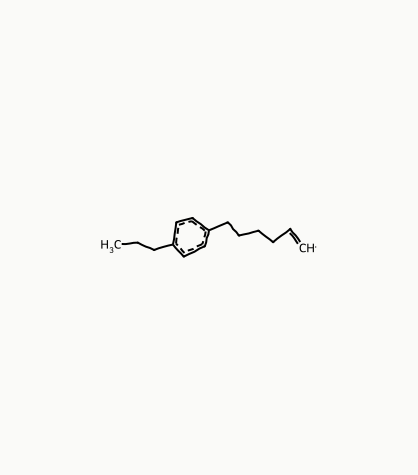 [CH]=CCCCCc1ccc(CCC)cc1